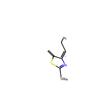 C=c1sc(SC)n/c1=C/CC(C)C